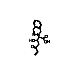 C=CC(=O)CC(O)C(C(=O)O)N1Cc2ccccc2C=N1